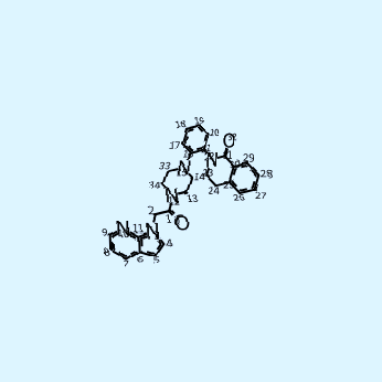 O=C(Cn1ccc2cccnc21)N1CCN(c2ccccc2N2CCc3ccccc3C2=O)CC1